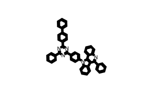 c1ccc(-c2ccc(-c3nc(-c4ccccc4)nc(-c4ccc(-n5c6ccccc6c6c(-c7ccccc7)nc7ccccc7c65)cc4)n3)cc2)cc1